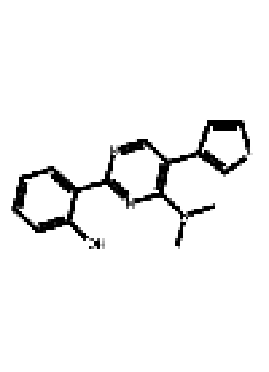 CN(C)c1nc(-c2ccccc2O)ncc1-c1ccsc1